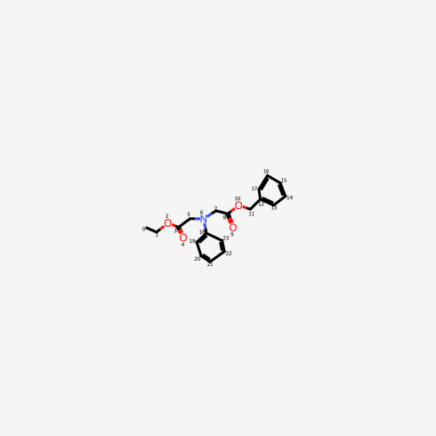 CCOC(=O)CN(CC(=O)OCc1ccccc1)c1ccccc1